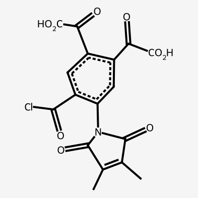 CC1=C(C)C(=O)N(c2cc(C(=O)C(=O)O)c(C(=O)C(=O)O)cc2C(=O)Cl)C1=O